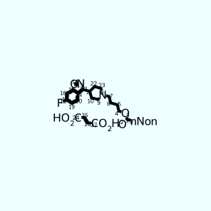 CCCCCCCCCC(=O)OCCCCN1CCC(c2noc3cc(F)ccc23)CC1.O=C(O)C=CC(=O)O